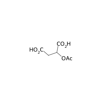 CC(=O)OC(CC(=O)O)C(=O)O